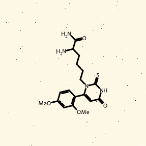 COc1ccc(-c2cc(=O)[nH]c(=S)n2CCCCC(N)C(N)=O)c(OC)c1